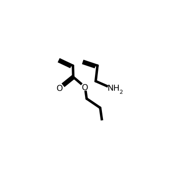 C=CC(=O)OCCC.C=CCN